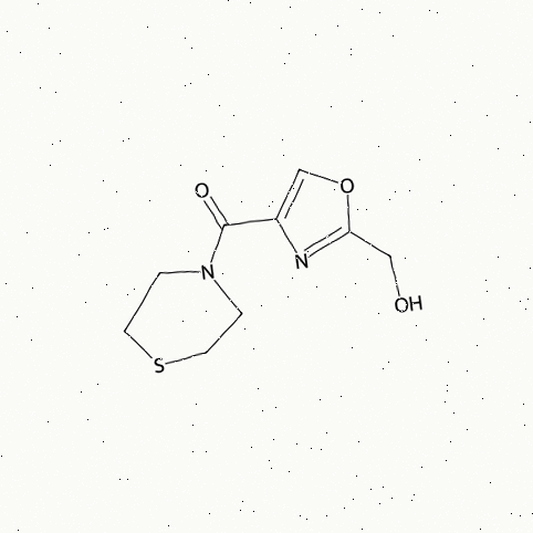 O=C(c1coc(CO)n1)N1CCSCC1